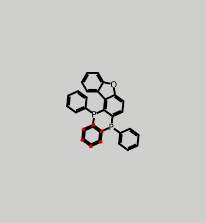 c1ccc(P(c2ccccc2)c2ccc3oc4ccccc4c3c2P(c2ccccc2)c2ccccc2)cc1